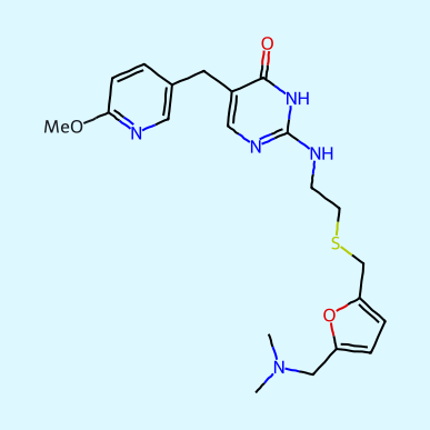 COc1ccc(Cc2cnc(NCCSCc3ccc(CN(C)C)o3)[nH]c2=O)cn1